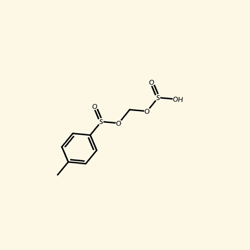 Cc1ccc(S(=O)OCOS(=O)O)cc1